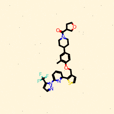 Cc1cc(C2CCN(C(=O)C3CCOC3)CC2)ccc1OCc1ccsc1-c1cccc(-n2nccc2C(F)(F)F)n1